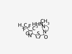 CNN1CCCN(C(=O)c2ccc(-c3noc(C(C)(F)F)c3C)s2)C1